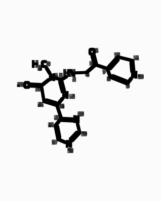 Cn1c(NCC(=O)c2ccncc2)nc(-c2ccncn2)cc1=O